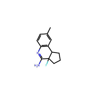 Cc1ccc2c(c1)C1CCCC1(F)C(N)=N2